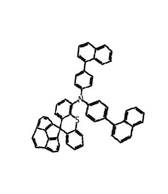 c1ccc2c(c1)Sc1c(N(c3ccc(-c4cccc5ccccc45)cc3)c3ccc(-c4cccc5ccccc45)cc3)cccc1C21c2cccc3ccc4cccc1c4c23